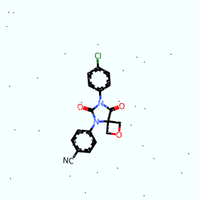 N#Cc1ccc(N2C(=O)N(c3ccc(Cl)cc3)C(=O)C23COC3)cc1